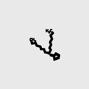 CCCCCCCCN(C=C1C=CC=C1)CCCCCCCC